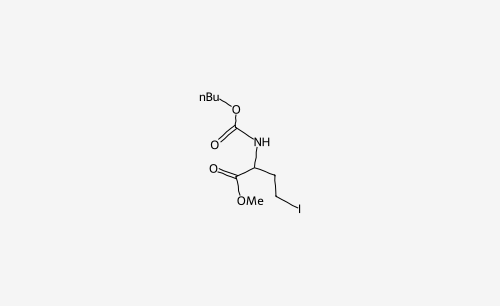 CCCCOC(=O)NC(CCI)C(=O)OC